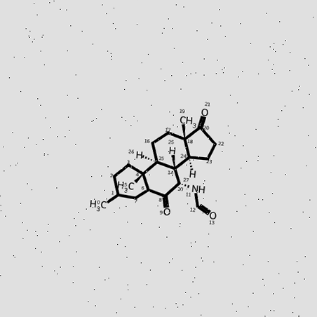 CC1CC[C@@]2(C)C(C1)C(=O)[C@@H](NC=O)[C@@H]1[C@@H]2CC[C@]2(C)C(=O)CC[C@@H]12